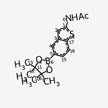 CC(=O)Nc1cc2cc(B3OC(C)(C)C(C)(C)O3)ccc2s1